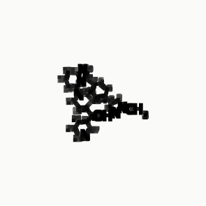 Cn1cc(-c2ccc(-c3cnc4cccc(N5CCC(C(O)c6cccnc6)CC5)n34)cc2)cn1